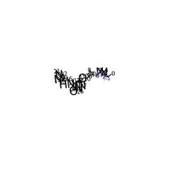 C/C=C\N(C)/N=C/[C@H]1C[C@@H]1COc1cc(NCc2cnn(C)c2)c(=O)n(C)n1